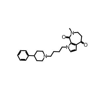 CN1CCC(=O)c2ccn(CCCCN3CCC(c4ccccc4)CC3)c2C1=O